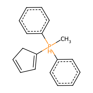 C[PH](C1=CC=CC1)(c1ccccc1)c1ccccc1